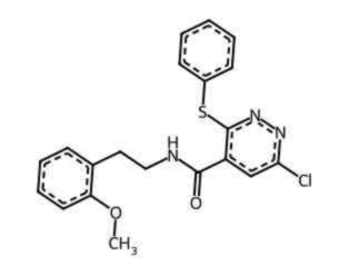 COc1ccccc1CCNC(=O)c1cc(Cl)nnc1Sc1ccccc1